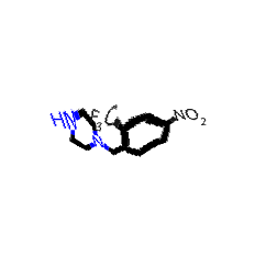 O=[N+]([O-])c1ccc(CN2CCNCC2)c(C(F)(F)F)c1